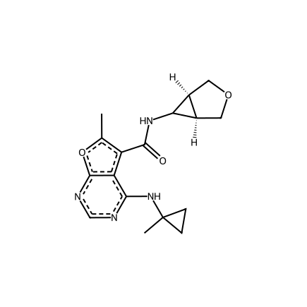 Cc1oc2ncnc(NC3(C)CC3)c2c1C(=O)NC1[C@H]2COC[C@@H]12